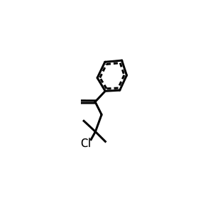 C=C(CC(C)(C)Cl)c1ccccc1